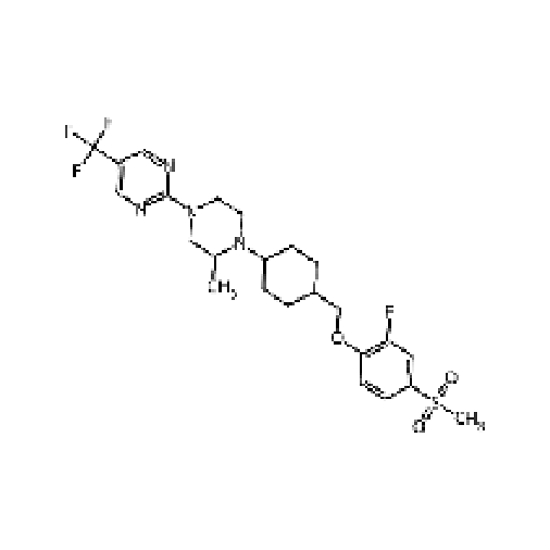 CC1CN(c2ncc(C(F)(F)F)cn2)CCN1C1CCC(COc2ccc(S(C)(=O)=O)cc2F)CC1